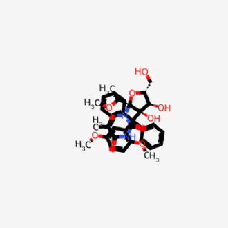 COc1ccc(OC)c(C(c2ccccc2)(c2ccccc2)[C@@]2(O)[C@H](O)[C@@H](CO)O[C@@]2(C(C)OC)n2cc(C)c(=O)[nH]c2=O)c1